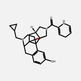 O=C(C1=CCC=CN1)N1C[C@H]2CC34CCC1C2C31CCN(CC2CC2)C4Cc2ccc(O)cc21